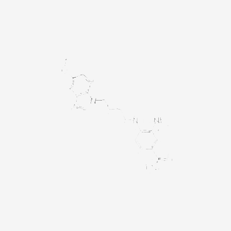 COc1ccc2c(c1)ncn2CCCCNc1ccc(C(N)=O)cc1N